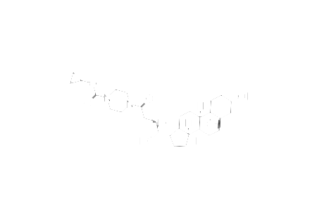 CC(CCC(=O)N1CCN(C(=O)OC2CC2)CC1)[C@H]1CC[C@H]2[C@@H]3CC=C4C[C@@H](O)CC[C@]4(C)[C@H]3CC[C@]12C